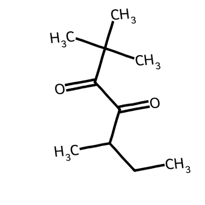 CCC(C)C(=O)C(=O)C(C)(C)C